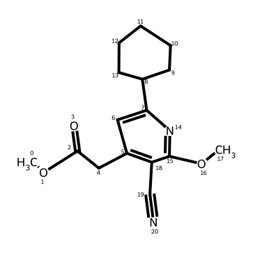 COC(=O)Cc1cc(C2CCCCC2)nc(OC)c1C#N